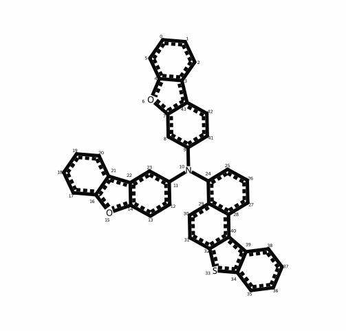 c1ccc2c(c1)oc1cc(N(c3ccc4oc5ccccc5c4c3)c3cccc4c3ccc3sc5ccccc5c34)ccc12